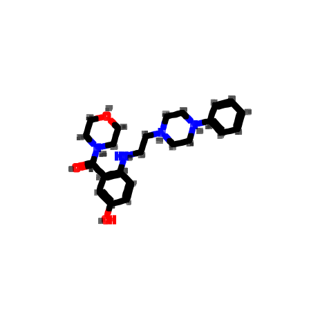 O=C(c1cc(O)ccc1NCCN1CCN(c2ccccc2)CC1)N1CCOCC1